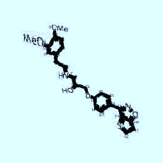 COc1ccc(CCNCC(O)COc2ccc(-c3noc4ccsc34)cc2)cc1OC